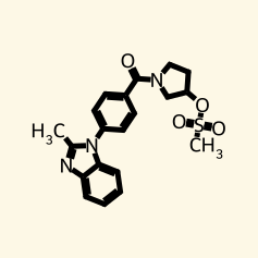 Cc1nc2ccccc2n1-c1ccc(C(=O)N2CCC(OS(C)(=O)=O)C2)cc1